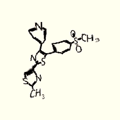 Cc1nc(-c2nc(-c3ccncc3)c(-c3ccc(S(C)(=O)=O)cc3)s2)cs1